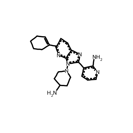 Nc1ncccc1-c1nc2ccc(C3=CCCCC3)nc2n1N1CCC(N)CC1